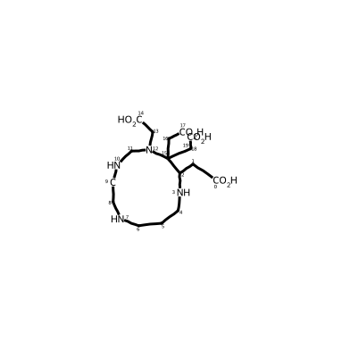 O=C(O)CC1NCCCNCCNCN(CC(=O)O)C1(CC(=O)O)CC(=O)O